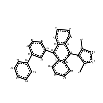 Cc1noc(C)c1-c1c2ccccc2c(-c2cccc(-c3ccccc3)c2)c2ccccc12